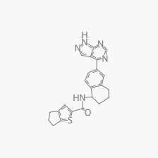 O=C(NC1CCCc2cc(-c3ncnc4[nH]ncc34)ccc21)c1cc2c(s1)CCC2